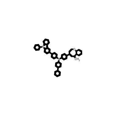 C=C1/C=C(c2ccc(N(c3ccc(-c4ccccc4)cc3)c3ccc(-c4ccc5c(c4)c4ccccc4n5-c4ccccc4)cc3)cc2)\C=C/OC2C=CC=CC12